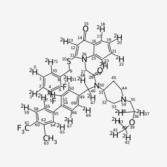 [2H]c1c([2H])c(F)c(F)c(CSc2c([2H])c(=O)c3c([2H])c([2H])c([2H])c([2H])c3n2CC(=O)N(C2CCN(CC([2H])([2H])OC([2H])([2H])[2H])CC2)C([2H])([2H])c2c([2H])c([2H])c(-c3c([2H])c([2H])c(C(F)(F)F)c(C)c3[2H])c([2H])c2[2H])c1[2H]